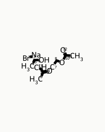 CC(=O)Cl.CCO.CCOC(C)=O.[Na][Br]